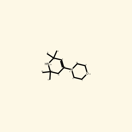 CC1(C)C=C(N2CCOCC2)CC(C)(C)N1